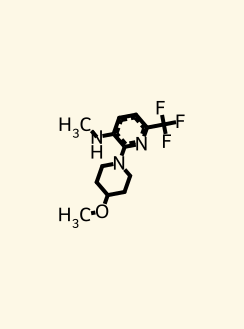 CNc1ccc(C(F)(F)F)nc1N1CCC(OC)CC1